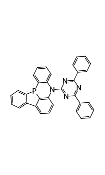 c1ccc(-c2nc(-c3ccccc3)nc(N3c4ccccc4-p4c5ccccc5c5cccc3c54)n2)cc1